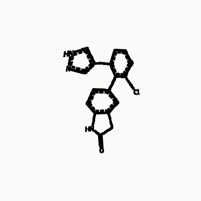 O=C1Cc2cc(-c3c(Cl)cccc3-c3cn[nH]c3)ccc2N1